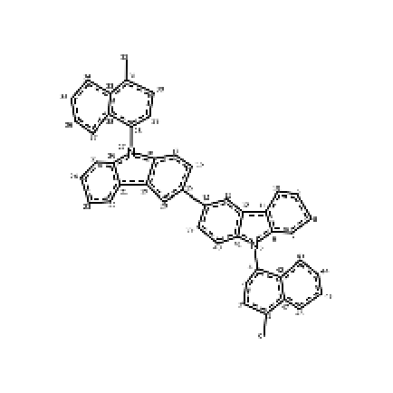 Cc1ccc(-n2c3ccccc3c3cc(-c4ccc5c(c4)c4ccccc4n5-c4ccc(C)c5ccccc45)ccc32)c2ccccc12